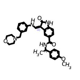 COc1ccc([C@@H](C)NC(=O)c2ccc3c(c2)/C(=C/Nc2cccc(CN4CCOCC4)c2)C(=O)N3)cc1